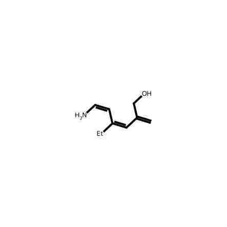 C=C(/C=C(\C=C/N)CC)CO